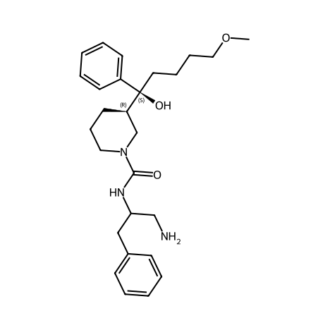 COCCCC[C@@](O)(c1ccccc1)[C@@H]1CCCN(C(=O)NC(CN)Cc2ccccc2)C1